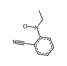 CCN(Cl)c1ccccc1C#N